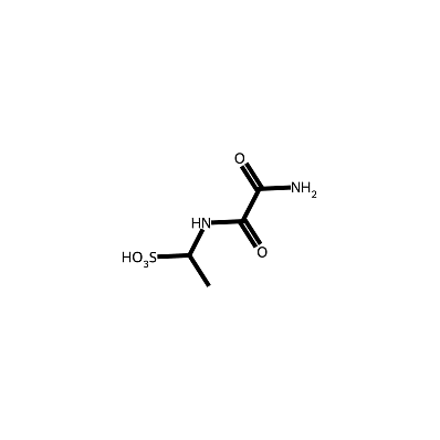 CC(NC(=O)C(N)=O)S(=O)(=O)O